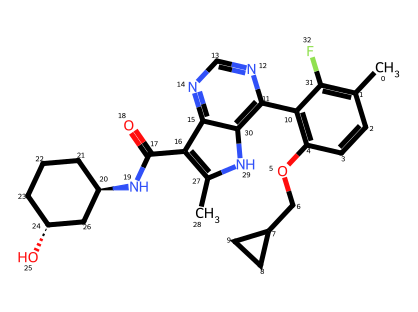 Cc1ccc(OCC2CC2)c(-c2ncnc3c(C(=O)N[C@@H]4CCC[C@@H](O)C4)c(C)[nH]c23)c1F